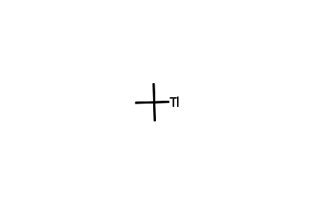 C[C](C)(C)[Tl]